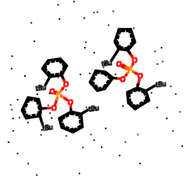 CC(C)(C)c1ccccc1OP(=O)(Oc1ccccc1)Oc1ccccc1C(C)(C)C.CC(C)(C)c1ccccc1OP(=O)(Oc1ccccc1C(C)(C)C)Oc1ccccc1C(C)(C)C